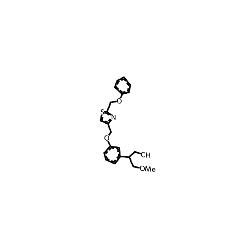 COCC(CO)c1cccc(OCc2csc(COc3ccccc3)n2)c1